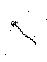 CCC=CCCCCCCCCC=CCCC=CCC(=O)O